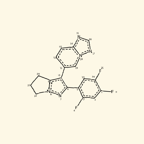 Fc1cc(F)c(-c2nn3c(c2-c2ccc4ncnn4c2)CCC3)cc1F